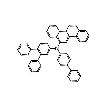 c1ccc(-c2ccc(N(c3ccc(-c4ccccc4)c(-c4ccccc4)c3)c3cc4c5ccccc5ccc4c4ccccc34)cc2)cc1